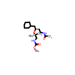 CC(C)(C)OC(=O)NC[Si@](C)(O[C@H](CCNC(=O)C(F)(F)F)CC1CCCCC1)C(C)(C)C